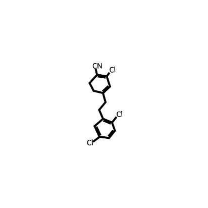 N#CC1=C(Cl)C=C(CCc2cc(Cl)ccc2Cl)CC1